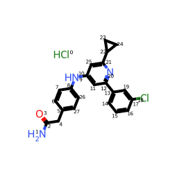 Cl.NC(=O)Cc1ccc(Nc2cc(-c3cccc(Cl)c3)nc(C3CC3)c2)cc1